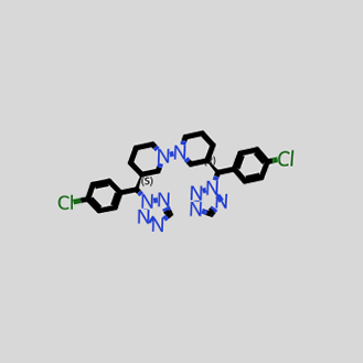 Clc1ccc(C([C@@H]2CCCN(N3CCC[C@H](C(c4ccc(Cl)cc4)n4ncnn4)C3)C2)n2ncnn2)cc1